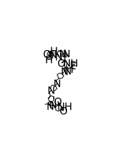 Cc1nn(C2CCC(=O)NC2=O)c2ccc(CN3CCC(N(C)CC4CCC(n5cc(NC(=O)c6cnn7ccc(N8C[C@H]9C[C@@H]8CO9)nc67)c(C(F)F)n5)CC4)CC3)cc12